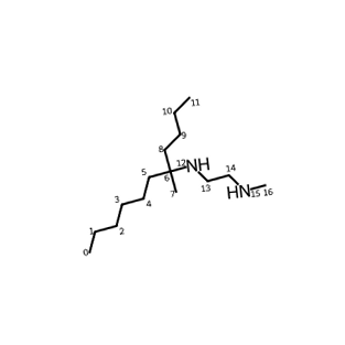 CCCCCCC(C)(CCCC)NCCNC